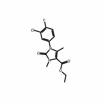 CCOC(=O)c1c(C)n(-c2ccc(F)c(Cl)c2)c(=O)n1C